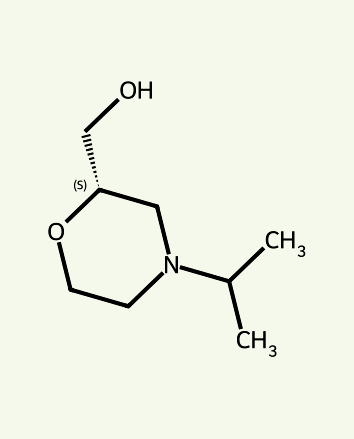 CC(C)N1CCO[C@H](CO)C1